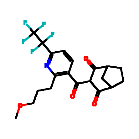 COCCCc1nc(C(F)(F)C(F)(F)F)ccc1C(=O)C1C(=O)C2CCC(C2)C1=O